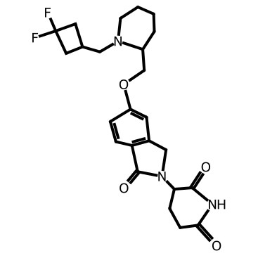 O=C1CCC(N2Cc3cc(OCC4CCCCN4CC4CC(F)(F)C4)ccc3C2=O)C(=O)N1